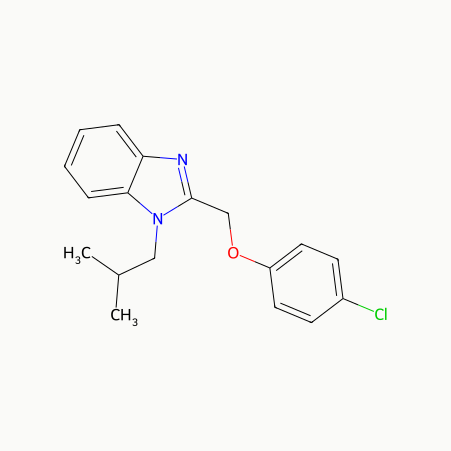 CC(C)Cn1c(COc2ccc(Cl)cc2)nc2ccccc21